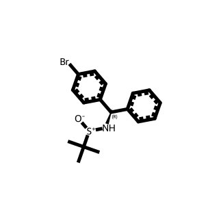 CC(C)(C)[S+]([O-])N[C@H](c1ccccc1)c1ccc(Br)cc1